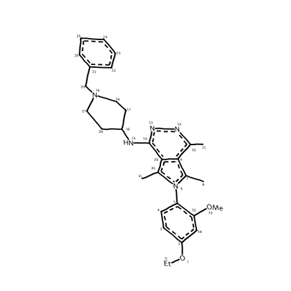 CCOc1ccc(-n2c(C)c3c(C)nnc(NC4CCN(Cc5ccccc5)CC4)c3c2C)c(OC)c1